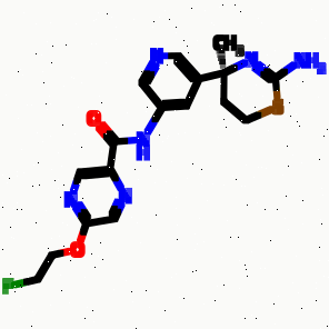 C[C@@]1(c2cncc(NC(=O)c3cnc(OCCF)cn3)c2)CCSC(N)=N1